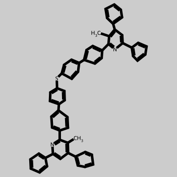 Cc1c(-c2ccccc2)cc(-c2ccccc2)nc1-c1ccc(-c2ccc(Sc3ccc(-c4ccc(-c5nc(-c6ccccc6)cc(-c6ccccc6)c5C)cc4)cc3)cc2)cc1